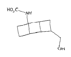 O=C(O)NC12C3C4C1C1C2C3C41CO